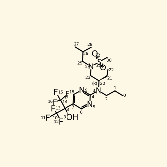 CCCN(c1ncc(C(O)(C(F)(F)F)C(F)(F)F)cn1)[C@H](CC)CN(CC(C)C)S(C)(=O)=O